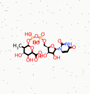 CC1[C@@H](O[P@@](=O)(O)O[P@@](=O)(O)OC[C@H]2O[C@@H](n3ccc(=O)[nH]c3=O)C(O)[C@H]2O)OC(C(=O)O)[C@@H](O)[C@@H]1O